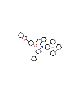 c1ccc(-c2ccc(N(c3ccc(C4(c5ccccc5)c5ccccc5-c5ccccc54)cc3)c3c4ccccc4cc4c3oc3ccc(-c5cc6ccccc6o5)cc34)cc2)cc1